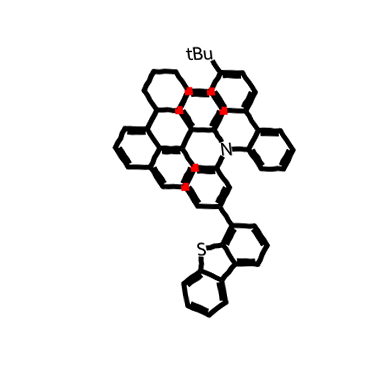 CC(C)(C)c1ccc(-c2ccccc2N(c2cccc(-c3cccc4c3sc3ccccc34)c2)c2ccccc2-c2cccc3cccc(C4CCCCC4)c23)cc1